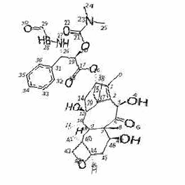 CC1=C2[C@@H](O)C(=O)[C@@]3(C)[C@H]([C@H](C)[C@](O)(C[C@@H]1OC(=O)[C@H](OC(=O)N(C)C)[C@@H](NBC=O)c1ccccc1)C2(C)C)[C@]1(C)CO[C@@H]1C[C@@H]3O